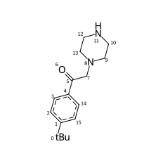 CC(C)(C)c1ccc(C(=O)CN2CCNCC2)cc1